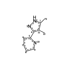 Cc1[nH]nc(-c2ccccn2)c1C